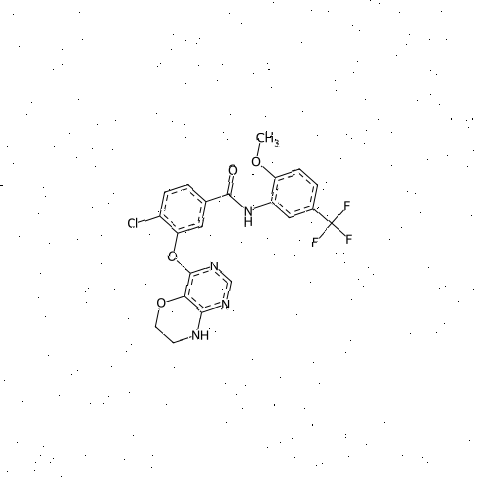 COc1ccc(C(F)(F)F)cc1NC(=O)c1ccc(Cl)c(Oc2ncnc3c2OCCN3)c1